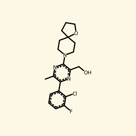 Cc1nc(N2CCC3(CCCO3)CC2)c(CO)nc1-c1cccc(F)c1Cl